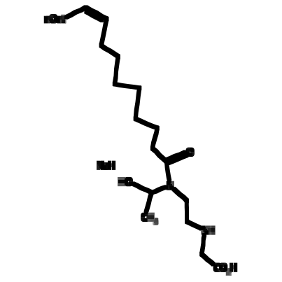 CCCCCCCC/C=C\CCCCCCCC(=O)N(CCNCC(=O)O)C(C)O.[NaH]